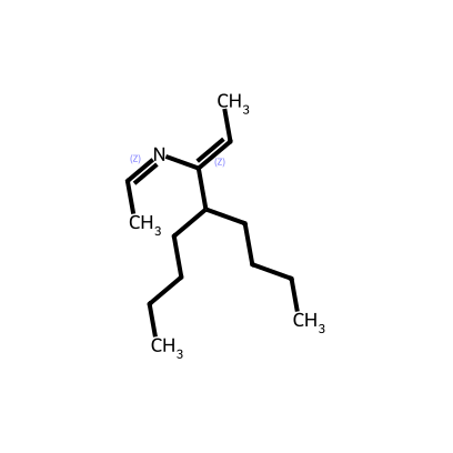 C/C=N\C(=C/C)C(CCCC)CCCC